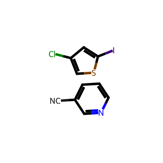 Clc1csc(I)c1.N#Cc1cccnc1